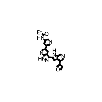 CCC(=O)Nc1cncc(-c2cnc3[nH]nc(-c4cc5c(-c6ccoc6)cncc5[nH]4)c3c2)c1